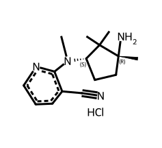 CN(c1ncccc1C#N)[C@H]1CC[C@@](C)(N)C1(C)C.Cl